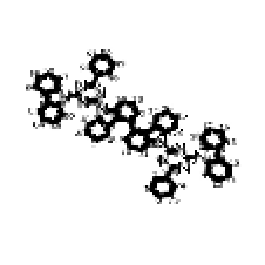 c1ccc(-c2nc(-n3c4ccccc4c4ccccc43)nc(-n3c4ccccc4c4c(-c5cccc6c5c5ccccc5n6-c5nc(-c6ccccc6)nc(-n6c7ccccc7c7ccccc76)n5)cccc43)n2)cc1